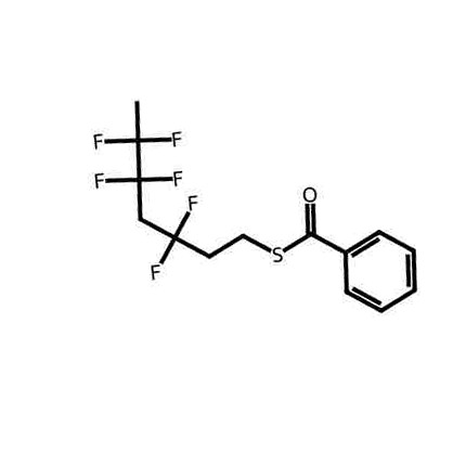 CC(F)(F)C(F)(F)CC(F)(F)CCSC(=O)c1ccccc1